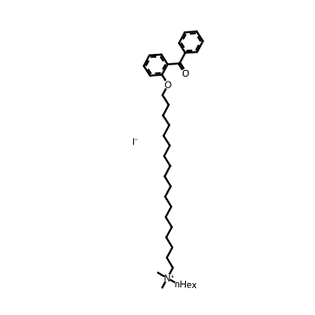 CCCCCC[N+](C)(C)CCCCCCCCCCCCCCCCCCOc1ccccc1C(=O)c1ccccc1.[I-]